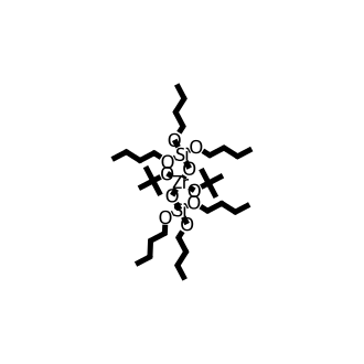 CCCCO[Si](OCCCC)(OCCCC)[O][Zr]([O]C(C)(C)C)([O]C(C)(C)C)[O][Si](OCCCC)(OCCCC)OCCCC